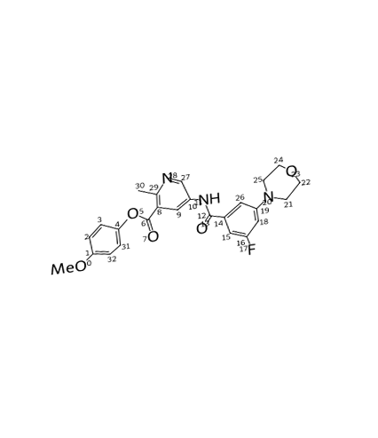 COc1ccc(OC(=O)c2cc(NC(=O)c3cc(F)cc(N4CCOCC4)c3)cnc2C)cc1